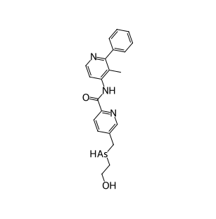 Cc1c(NC(=O)c2ccc(C[AsH]CCO)cn2)ccnc1-c1ccccc1